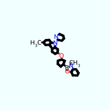 Cc1ccc2c(c1)c1ccc(Oc3cccc(B4Oc5ccccc5N4C)c3)cc1n2-c1ccccn1